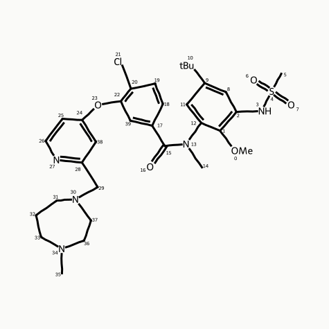 COc1c(NS(C)(=O)=O)cc(C(C)(C)C)cc1N(C)C(=O)c1ccc(Cl)c(Oc2ccnc(CN3CCCN(C)CC3)c2)c1